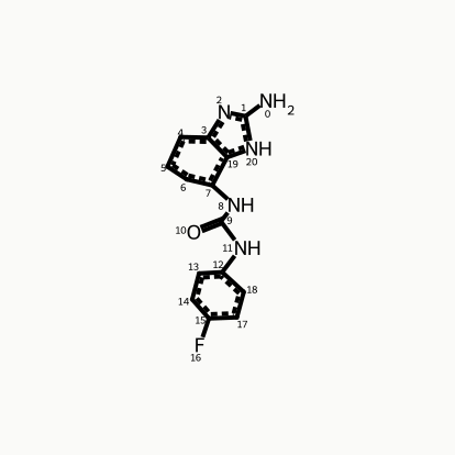 Nc1nc2cccc(NC(=O)Nc3ccc(F)cc3)c2[nH]1